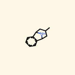 CC1CC2NC(C1)c1ccccc12